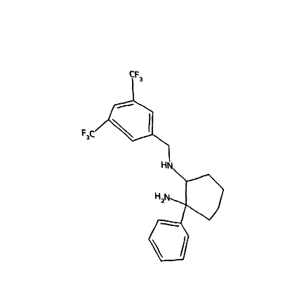 NC1(c2ccccc2)CCCCC1NCc1cc(C(F)(F)F)cc(C(F)(F)F)c1